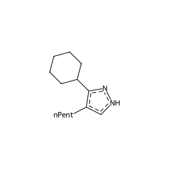 CCCCCc1c[nH]nc1C1CCCCC1